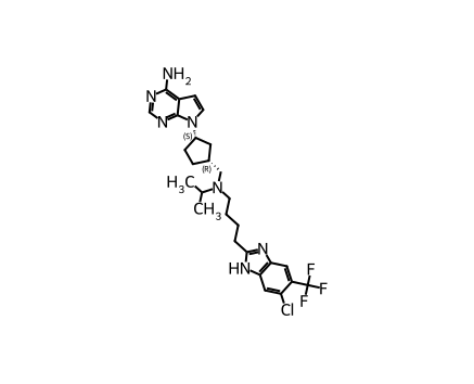 CC(C)N(CCCCc1nc2cc(C(F)(F)F)c(Cl)cc2[nH]1)C[C@@H]1CC[C@H](n2ccc3c(N)ncnc32)C1